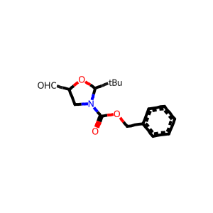 CC(C)(C)C1OC(C=O)CN1C(=O)OCc1ccccc1